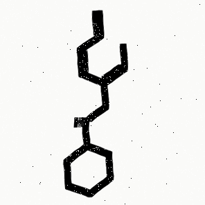 C=C/C=C\C(=C/C)CNC1CCCCC1